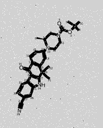 C[C@H]1CN(C(=O)OC(C)(C)C)CCN1c1ccc2c(c1)C(C)(C)c1[nH]c3cc(C#N)ccc3c1C2=O